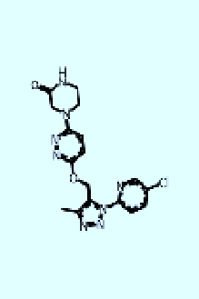 Cc1nnn(-c2ccc(Cl)cn2)c1COc1ccc(N2CCNC(=O)C2)nn1